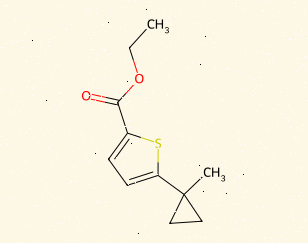 CCOC(=O)c1ccc(C2(C)CC2)s1